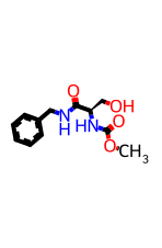 COC(=O)N[C@H](CO)C(=O)NCc1ccccc1